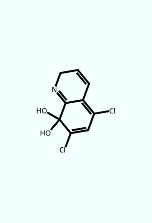 OC1(O)C(Cl)=CC(Cl)=C2C=CCN=C21